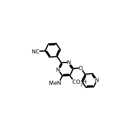 CNc1nc(-c2cccc(C#N)c2)nc(Oc2cccnc2)c1C(=O)O